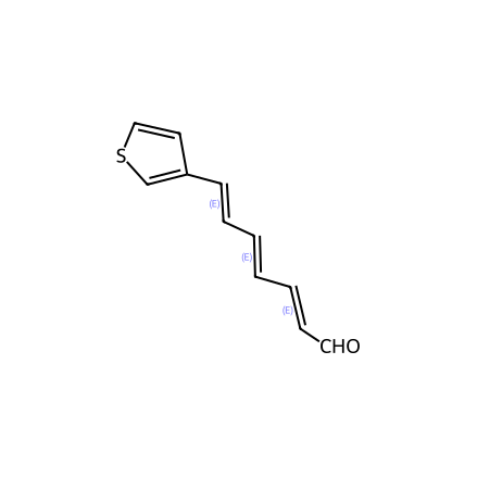 O=C/C=C/C=C/C=C/c1ccsc1